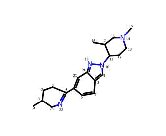 CC1CCC(c2ccc3cn(C4CCN(C)CC4C)nc3c2)=NC1